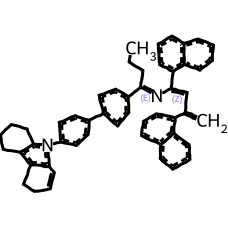 C=C(/C=C(\N=C(/CCC)c1ccc(-c2ccc(-n3c4c(c5c3CCCC5)CCC=C4)cc2)cc1)c1cccc2ccccc12)c1cccc2ccccc12